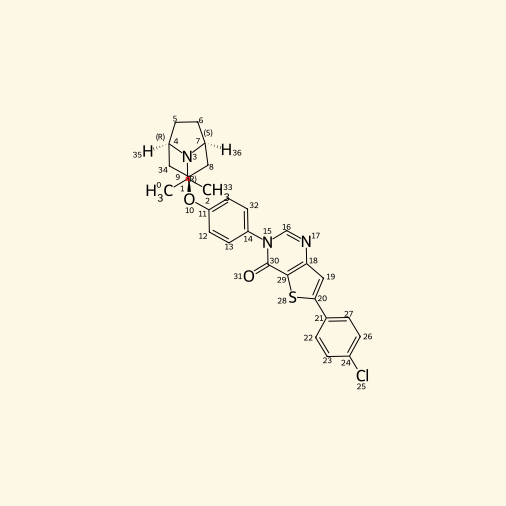 CC(C)N1[C@@H]2CC[C@H]1C[C@@H](Oc1ccc(-n3cnc4cc(-c5ccc(Cl)cc5)sc4c3=O)cc1)C2